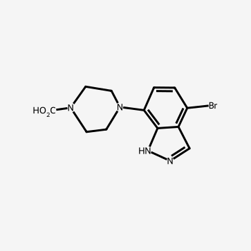 O=C(O)N1CCN(c2ccc(Br)c3cn[nH]c23)CC1